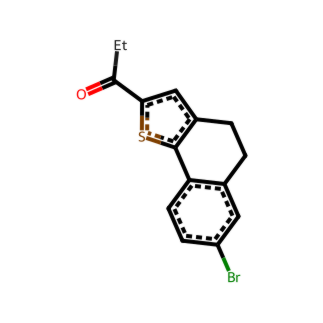 CCC(=O)c1cc2c(s1)-c1ccc(Br)cc1CC2